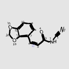 N#CNC(=O)/C=C\c1cccc2c1OCO2